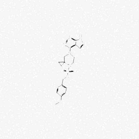 COc1ccc(CNS(=O)(=O)N2CCN(c3ncnc4[nH]ccc34)CC23CC3)cc1